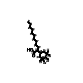 CCCCCCCCCCC(C(=O)O)C1CC(C)(C)N(C)C(C)(C)C1